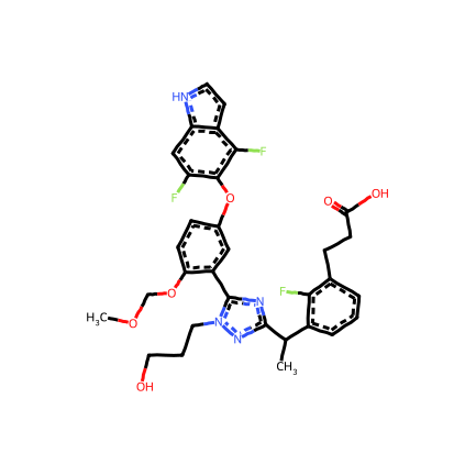 COCOc1ccc(Oc2c(F)cc3[nH]ccc3c2F)cc1-c1nc(C(C)c2cccc(CCC(=O)O)c2F)nn1CCCO